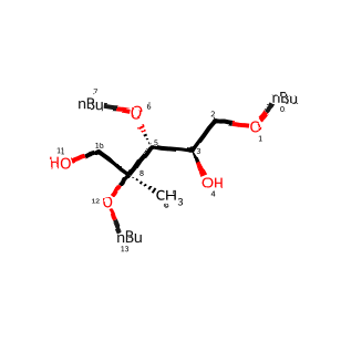 CCCCOC[C@@H](O)[C@@H](OCCCC)[C@](C)(CO)OCCCC